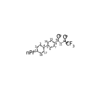 CCCc1ccc(-c2ccc(C(=O)CC(=O)C(F)(F)F)cc2)cc1